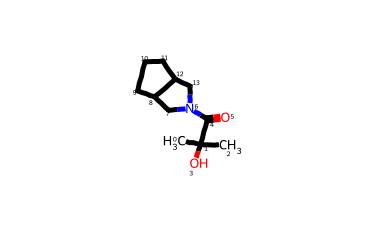 CC(C)(O)C(=O)N1CC2CCCC2C1